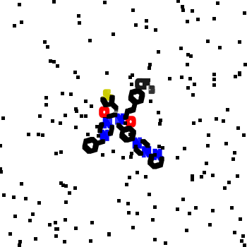 O=C([C@H](Cc1ccsc1)N(Cc1ccc(N2CCN(c3ccccn3)CC2)cc1)C(=O)/C=C/c1ccc(C(F)(F)F)cc1)N1CCN(Cc2ccccc2)CC1